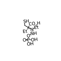 CCN(NOP(=O)(O)O)[C@@](CC)(CS)C(=O)O